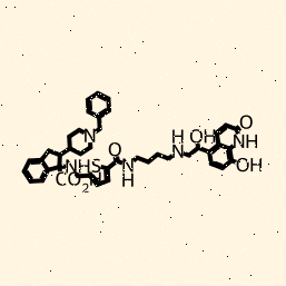 O=C(NCCCCNCC(O)c1ccc(O)c2[nH]c(=O)ccc12)c1ccc(CNC2(C(=O)O)c3ccccc3CC2C2CCN(Cc3ccccc3)CC2)s1